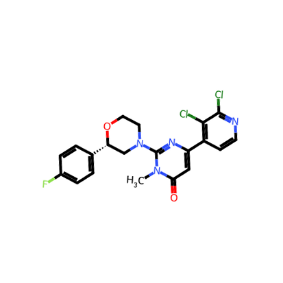 Cn1c(N2CCO[C@@H](c3ccc(F)cc3)C2)nc(-c2ccnc(Cl)c2Cl)cc1=O